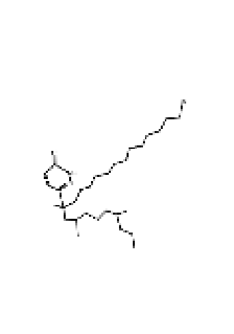 CCCC(C)CCCC(C)CC(C)(CCCCCCCCCCCCCBr)c1ccc(=O)[nH]n1